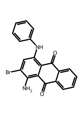 Nc1c(Br)cc(Nc2ccccc2)c2c1C(=O)c1ccccc1C2=O